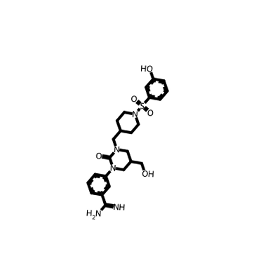 N=C(N)c1cccc(N2CC(CO)CN(CC3CCN(S(=O)(=O)c4cccc(O)c4)CC3)C2=O)c1